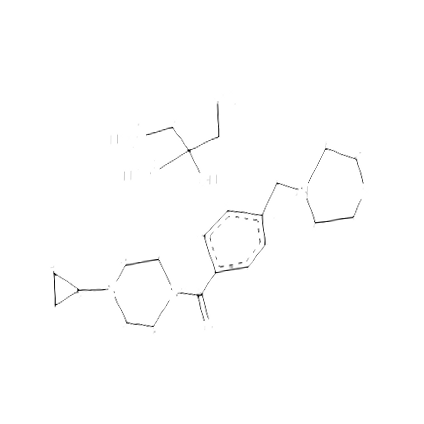 O=C(O)CC(O)(CC(=O)O)C(=O)O.O=C(c1ccc(CN2CCSCC2)cc1)N1CCN(C2CC2)CC1